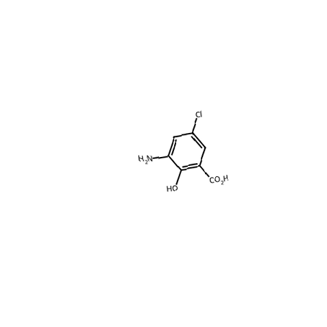 Nc1cc(Cl)cc(C(=O)O)c1O